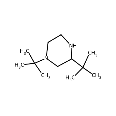 CC(C)(C)C1CN(C(C)(C)C)CCN1